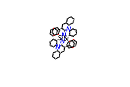 c1ccc(-c2cc3ccccc3nc2N2[Si](c3ccccc3)(c3ccccc3)N(c3nc4ccccc4cc3-c3ccccc3)[Si]2(c2ccccc2)c2ccccc2)cc1